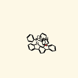 O=P(c1ccccc1)(c1ccccc1)n1c2ccccc2c2ccc3c4ccccc4n(-c4ncccn4)c3c21